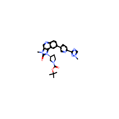 Cn1cnc(-c2ccc(-c3ccc4ncc5c(c4c3)n([C@H]3CCN(C(=O)OC(C)(C)C)C3)c(=O)n5C)cn2)n1